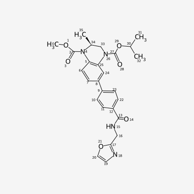 COC(=O)N1c2ccc(-c3ccc(C(=O)NCc4ncco4)cc3)cc2N(C(=O)OC(C)C)C[C@@H]1C